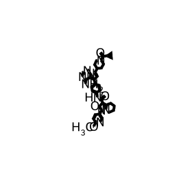 COc1ccc(-n2c(=O)c(C(=O)Nc3ccc(-c4cc(C5CCN(C(=O)C6CC6)CC5)n5ncnc(N)c45)cc3)c3n2CCCC3)cn1